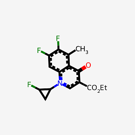 CCOC(=O)c1cn(C2CC2F)c2cc(F)c(F)c(C)c2c1=O